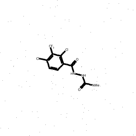 CNC(=O)NNC(=O)c1ccc(Cl)c(C(F)(F)F)c1Cl